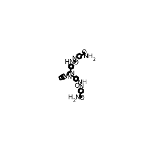 NC(=O)C1=CCC(=NC(=O)Nc2ccc(-c3cc(N4CC5CCC(C4)O5)nc(-c4ccc(NC(=O)N=C5C=CC(C(N)=O)=CC5)cc4)n3)cc2)C=C1